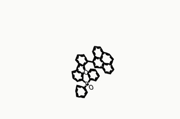 O=P(c1ccccc1)(c1ccccc1)c1cccc2c1oc1c(-c3cc4cccc5ccc6cccc3c6c54)cccc12